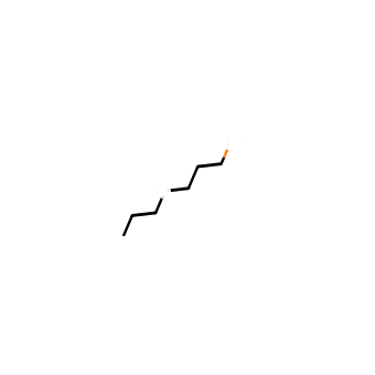 CCCBCCCP